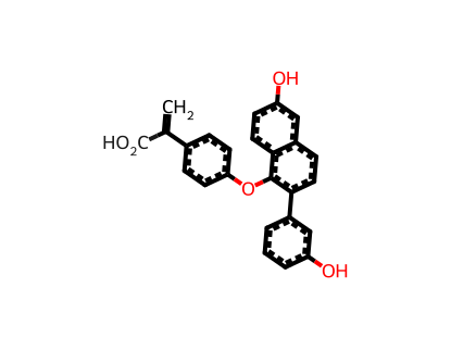 C=C(C(=O)O)c1ccc(Oc2c(-c3cccc(O)c3)ccc3cc(O)ccc23)cc1